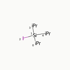 CC(C)[Si](I)(C(C)C)C(C)C